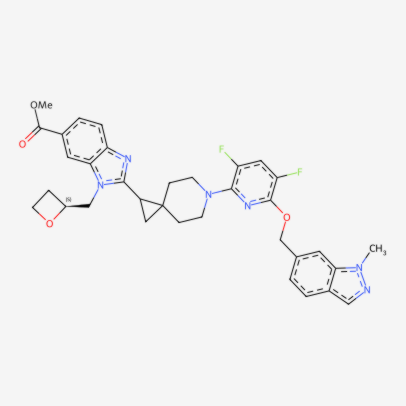 COC(=O)c1ccc2nc(C3CC34CCN(c3nc(OCc5ccc6cnn(C)c6c5)c(F)cc3F)CC4)n(C[C@@H]3CCO3)c2c1